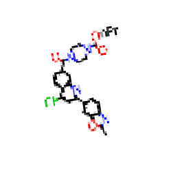 CCCOC(=O)N1CCN(C(=O)c2ccc3c(Cl)cc(-c4ccc5nc(C)oc5c4)nc3c2)CC1